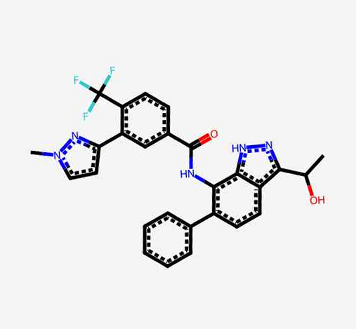 CC(O)c1n[nH]c2c(NC(=O)c3ccc(C(F)(F)F)c(-c4ccn(C)n4)c3)c(-c3ccccc3)ccc12